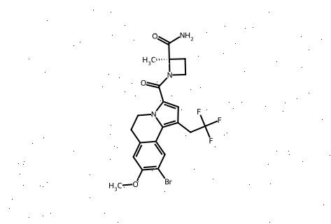 COc1cc2c(cc1Br)-c1c(CC(F)(F)F)cc(C(=O)N3CC[C@]3(C)C(N)=O)n1CC2